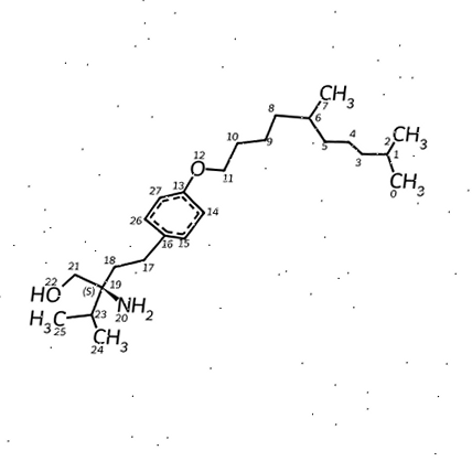 CC(C)CCCC(C)CCCCOc1ccc(CC[C@@](N)(CO)C(C)C)cc1